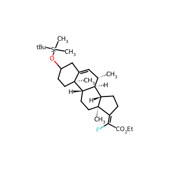 CCOC(=O)C(F)=C1CC[C@H]2[C@@H]3[C@@H](C)C=C4CC(O[Si](C)(C)C(C)(C)C)CC[C@]4(C)[C@H]3CC[C@]12C